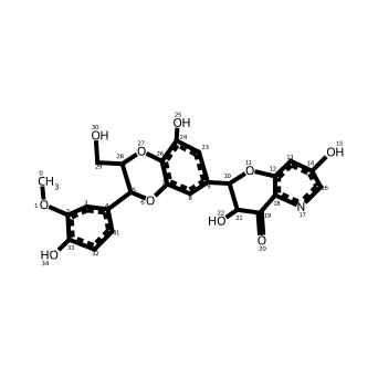 COc1cc(C2Oc3cc(C4Oc5cc(O)cnc5C(=O)C4O)cc(O)c3OC2CO)ccc1O